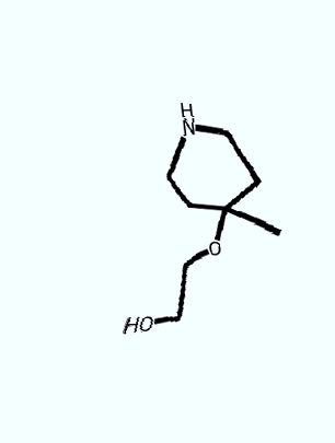 CC1(OCCO)CCNCC1